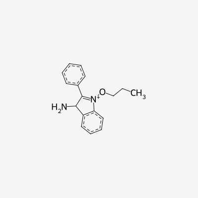 CCCO[N+]1=C(c2ccccc2)C(N)c2ccccc21